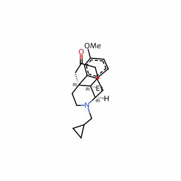 CC[C@@]12CCC(=O)C[C@@]13CCN(CC1CC1)[C@@H]2Cc1ccc(OC)cc13